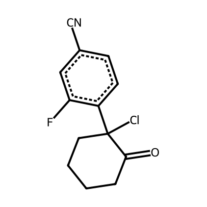 N#Cc1ccc(C2(Cl)CCCCC2=O)c(F)c1